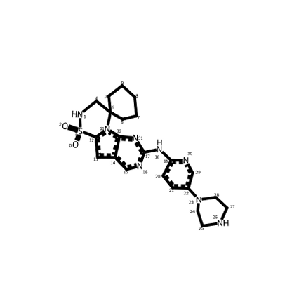 O=S1(=O)NCC2(CCCCC2)n2c1cc1cnc(Nc3ccc(N4CCNCC4)cn3)nc12